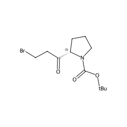 CC(C)(C)OC(=O)N1CCC[C@H]1C(=O)CCBr